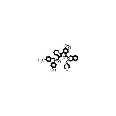 Cc1ccc(CN(C(=O)c2cc(-c3cc4c(cc3C(=O)N3Cc5ccccc5C[C@H]3CN3CCOCC3)OCO4)n3c2CCCC3)c2ccc(O)cc2)cc1